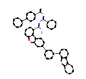 C=C(/N=C(\N=C(/NC)c1cccc2oc3cc(-c4cccc(-c5cccc6c5sc5ccccc56)c4)ccc3c12)c1ccccc1)c1ccc(-c2ccccc2)cc1